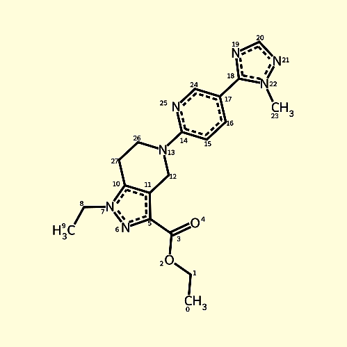 CCOC(=O)c1nn(CC)c2c1CN(c1ccc(-c3ncnn3C)cn1)CC2